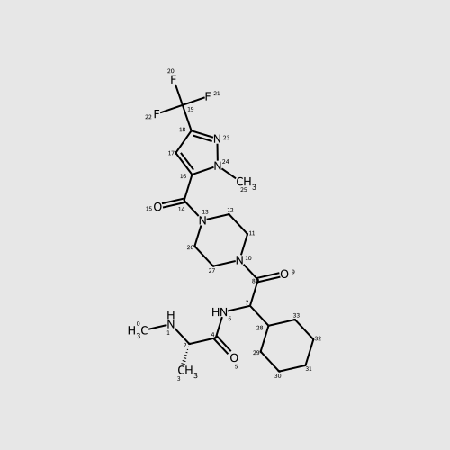 CN[C@@H](C)C(=O)NC(C(=O)N1CCN(C(=O)c2cc(C(F)(F)F)nn2C)CC1)C1CCCCC1